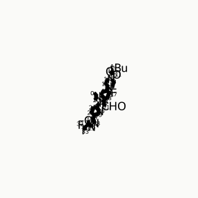 CN(C)c1cc(N2CCN(C(=O)OC(C)(C)C)CC2)c(F)cc1N(C=O)Cc1ccc(-c2nnc(C(F)F)o2)cn1